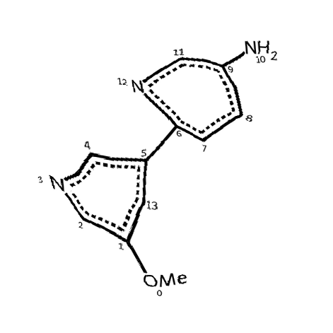 COc1cncc(-c2ccc(N)cn2)c1